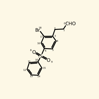 O=CCCc1ccc(S(=O)(=O)c2ccccc2)cc1Br